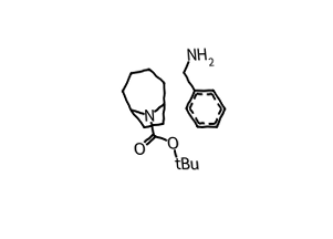 CC(C)(C)OC(=O)N1C2CCCCC1CC2.NCc1ccccc1